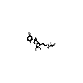 Cn1c(CCNCC(F)(F)F)c2n(c1=S)C[C@@]1(c3cc(Br)ccc3F)CC21